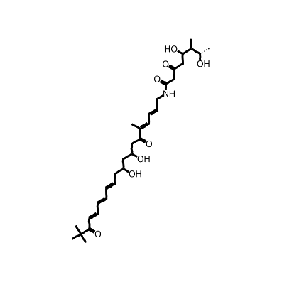 C/C(=C\C=C\CNC(=O)CC(=O)CC(O)C(C)[C@H](C)O)C(=O)CC(O)CC(O)C/C=C/C=C/C=C/C(=O)C(C)(C)C